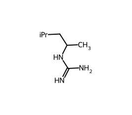 CC(C)CC(C)NC(=N)N